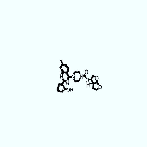 Cc1ccc2c(N3CCN(C(=O)O[C@H]4COC5OCC[C@@H]54)CC3)nc(-c3ccccc3O)nc2c1